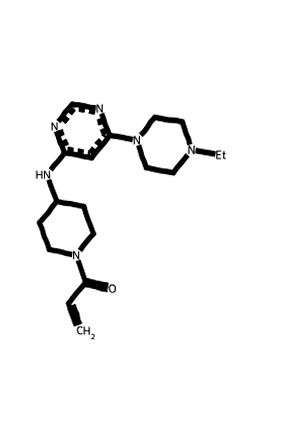 C=CC(=O)N1CCC(Nc2cc(N3CCN(CC)CC3)ncn2)CC1